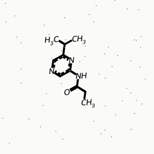 CCC(=O)Nc1cncc(C(C)C)n1